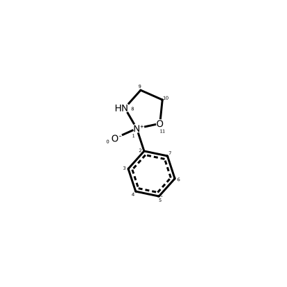 [O-][N+]1(c2cc[c]cc2)NCCO1